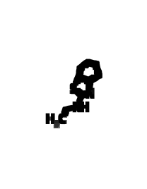 C=CNc1nc2ccccc2s1